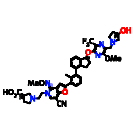 CO/N=c1/c2cc(-c3cccc(-c4cccc5c4CC[C@@H]5Oc4nc(OC)c(CN5CC[C@@H](O)C5)nc4C(F)(F)F)c3C)oc2c(C#N)cn1CCN1CC[C@@H](C(=O)O)C1